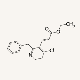 CCOC(=O)C=CC1=C(Cl)CCN=C1Cc1ccccc1